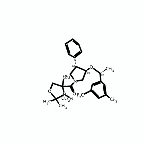 C[C@@H](O[C@H]1CN(C(=O)C2(C(C)(C)C)COC(C)(C)N2C(=O)O)C[C@@H]1c1ccccc1)c1cc(C(F)(F)F)cc(C(F)(F)F)c1